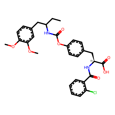 CCC(Cc1ccc(OC)c(OC)c1)NC(=O)Oc1ccc(C[C@H](NC(=O)c2ccccc2Cl)C(=O)O)cc1